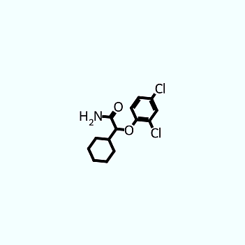 NC(=O)C(Oc1ccc(Cl)cc1Cl)C1CCCCC1